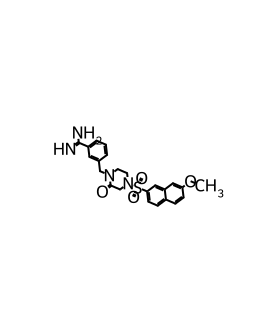 COc1ccc2ccc(S(=O)(=O)N3CCN(Cc4cccc(C(=N)N)c4)C(=O)C3)cc2c1